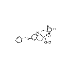 C[C@]12CC[C@@H]3c4ccc(OCc5ccccc5)cc4C[C@@H](C=O)[C@H]3[C@@H]1CC[C@@H]2O